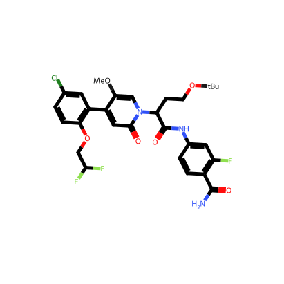 COc1cn(C(CCOC(C)(C)C)C(=O)Nc2ccc(C(N)=O)c(F)c2)c(=O)cc1-c1cc(Cl)ccc1OCC(F)F